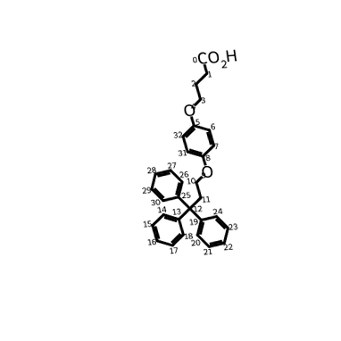 O=C(O)CCCOc1ccc(OCCC(c2ccccc2)(c2ccccc2)c2ccccc2)cc1